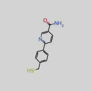 NC(=O)c1ccc(-c2ccc(CS)cc2)nc1